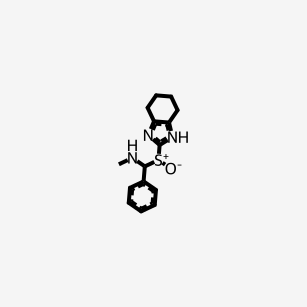 CNC(c1ccccc1)[S+]([O-])c1nc2c([nH]1)CCCC2